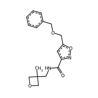 CC1(CNC(=O)c2cc(COCc3ccccc3)on2)COC1